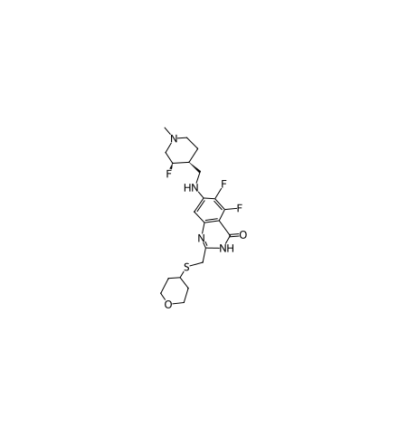 CN1CC[C@@H](CNc2cc3nc(CSC4CCOCC4)[nH]c(=O)c3c(F)c2F)[C@@H](F)C1